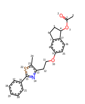 CC(=O)OC1CCc2cc(OCCc3nc(-c4ccccc4)sc3C)ccc21